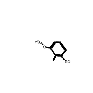 CCCCOc1cccc(N=O)c1C